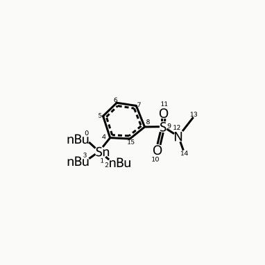 CCC[CH2][Sn]([CH2]CCC)([CH2]CCC)[c]1cccc(S(=O)(=O)N(C)C)c1